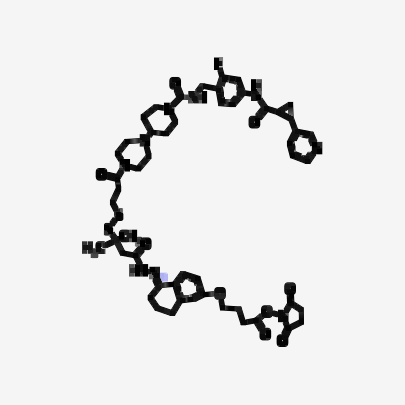 CC(C)(CC(=O)N/N=C1\CCCc2cc(OCCCC(=O)ON3C(=O)CCC3=O)ccc21)SSCCC(=O)N1CCN(C2CCN(C(=O)NCc3ccc(NC(=O)C4CC4c4cccnc4)cc3F)CC2)CC1